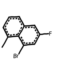 Cc1cccc2cc(F)cc(Br)c12